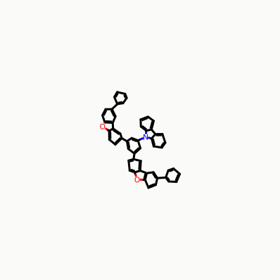 c1ccc(-c2ccc3oc4ccc(-c5cc(-c6ccc7oc8ccc(-c9ccccc9)cc8c7c6)cc(-n6c7ccccc7c7ccccc76)c5)cc4c3c2)cc1